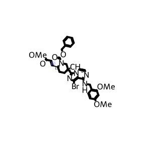 COC(=O)/C=C/[C@@H]1CC[C@@](C)(c2nc(Br)c3c(NCc4ccc(OC)cc4OC)nccn23)CN1C(=O)OCc1ccccc1